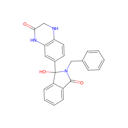 O=C1CNc2ccc(C3(O)c4ccccc4C(=O)N3Cc3ccccc3)cc2N1